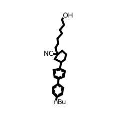 CCCCc1ccc(-c2ccc(C3CCCC(C#N)(CCCCCCCO)C3)cc2)cc1